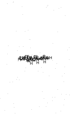 Cn1c(-c2cn(C3CC3(F)F)nc2C(F)(F)F)cnc1C(=O)Nc1ccc(C(=O)NC2C3CN(C(=O)NC4CNC4)CC32)c(Cl)c1